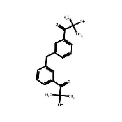 CC(C)(O)C(=O)c1cccc(Cc2cccc(C(=O)C(C)(C)O)c2)c1